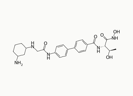 C[C@@H](O)[C@H](NC(=O)c1ccc(-c2ccc(NC(=O)CNC3CCCC(N)C3)cc2)cc1)C(=O)NO